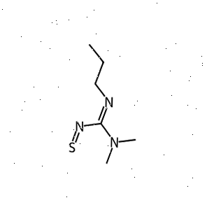 CCCN=C(N=S)N(C)C